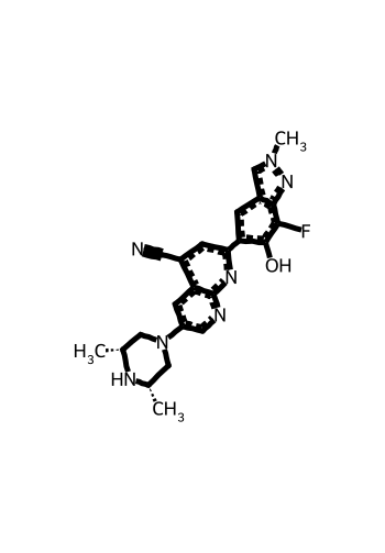 C[C@@H]1CN(c2cnc3nc(-c4cc5cn(C)nc5c(F)c4O)cc(C#N)c3c2)C[C@H](C)N1